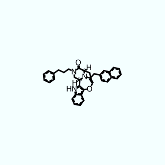 O=C1[C@@H]2CC3=C(Cc4ccc5ccccc5c4)N2[C@@H](CN1CCCc1ccccc1)c1[nH]c2ccccc2c1O3